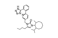 CCCCc1cn(C2C(C)CCCCCC2C(C)C)c(=O)n1Cc1ccc(-c2ccccc2-c2nnn[nH]2)nc1